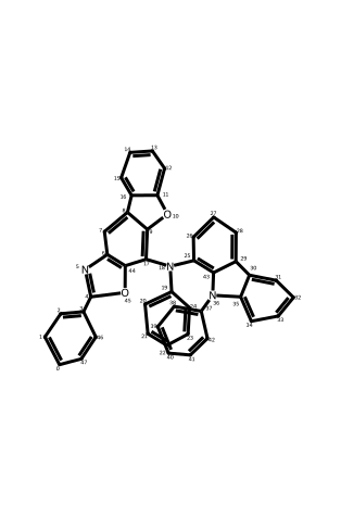 c1ccc(-c2nc3cc4c(oc5ccccc54)c(N(c4ccccc4)c4cccc5c6ccccc6n(-c6ccccc6)c45)c3o2)cc1